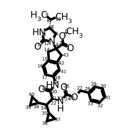 COC(=O)C1(N2C[C@@H](C(C)C)NC2=O)Cc2ccc(NC(=O)[C@@H](NC(=O)OCc3ccccc3)C(C3CC3)C3CC3)cc2C1